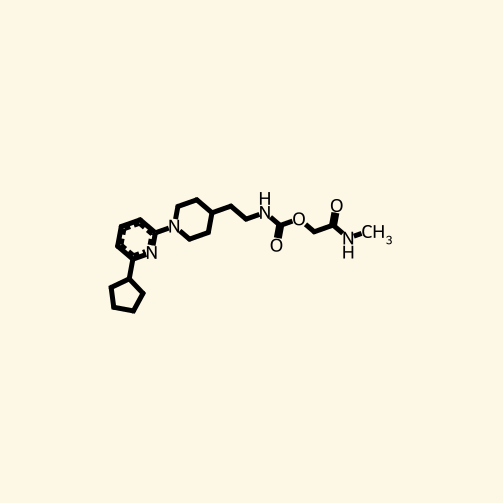 CNC(=O)COC(=O)NCCC1CCN(c2cccc(C3CCCC3)n2)CC1